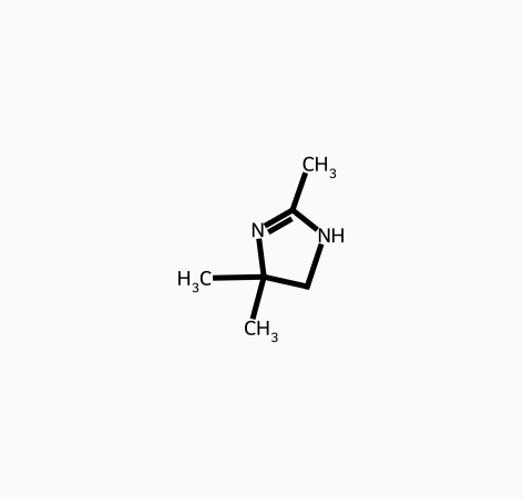 CC1=NC(C)(C)CN1